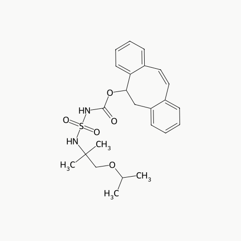 CC(C)OCC(C)(C)NS(=O)(=O)NC(=O)OC1Cc2ccccc2/C=C\c2ccccc21